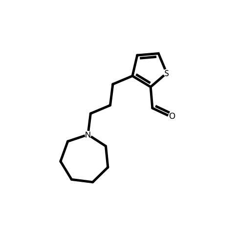 O=Cc1sccc1CCCN1CCCCCC1